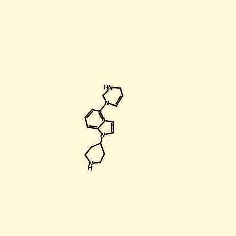 C1=CN(c2cccc3c2ccn3C2CCNCC2)CNC1